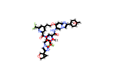 CCOc1cc2nc(C34COCC3C4)cn2cc1NC(=O)c1cc(CCOc2cc3nc(C45CCC(C)(CC4)OC5)cn3cc2NC(=O)c2cccc(C(F)F)n2)cc(C(F)F)n1